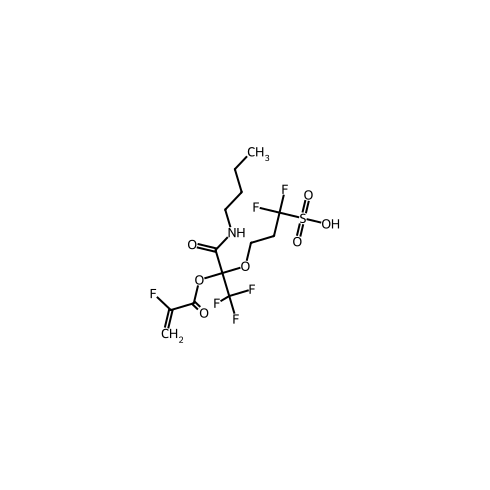 C=C(F)C(=O)OC(OCCC(F)(F)S(=O)(=O)O)(C(=O)NCCCC)C(F)(F)F